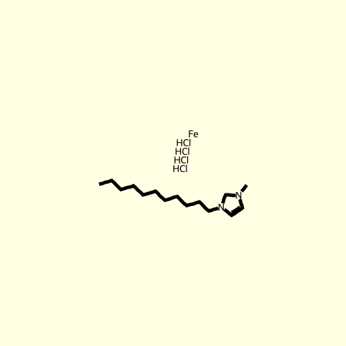 CCCCCCCCCCCN1C=CN(C)C1.Cl.Cl.Cl.Cl.[Fe]